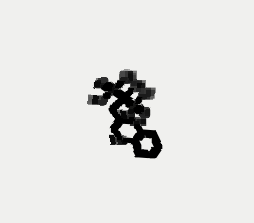 O=P(O)(O)C(O)(CC1CNc2ccccc2N1)P(=O)(O)O